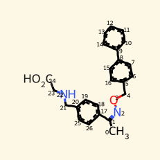 CC(=NOCc1ccc(-c2ccccc2)cc1)c1ccc(CNCC(=O)O)cc1